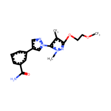 Cn1nc(OCCOC(F)(F)F)c(C(F)(F)F)c1-n1cc(-c2cccc(C(N)=O)c2)cn1